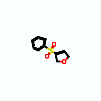 O=S(=O)(C1=CCOC1)c1ccccc1